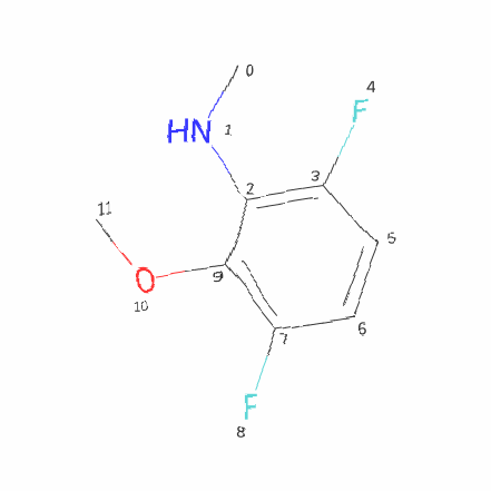 CNc1c(F)ccc(F)c1OC